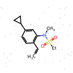 C=Cc1ccc(C2CC2)cc1N(C)S(=O)(=O)CC